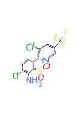 NC1=C(Cl)C=CC(c2ncc(C(F)(F)F)cc2Cl)C1=S(=O)=O